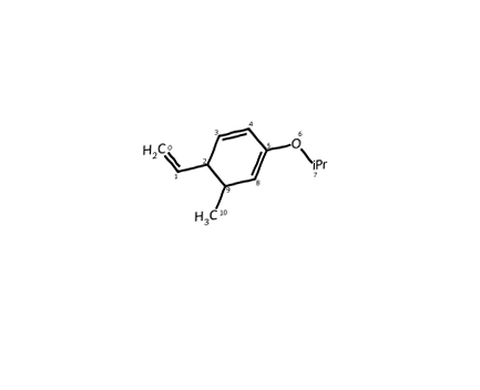 C=CC1C=CC(OC(C)C)=CC1C